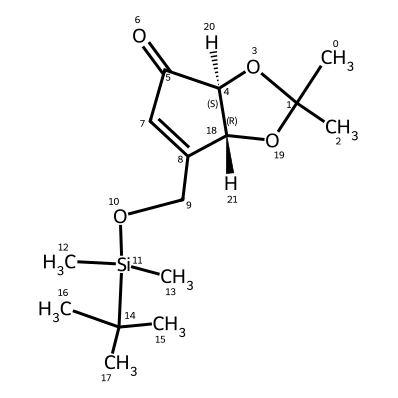 CC1(C)O[C@@H]2C(=O)C=C(CO[Si](C)(C)C(C)(C)C)[C@H]2O1